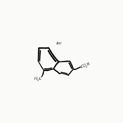 Cc1cccc2cc(C(=O)O)ccc12.[In]